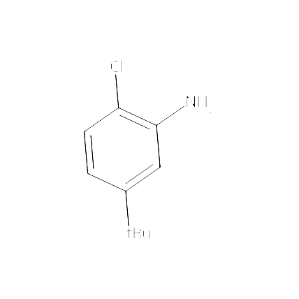 CC(C)(C)c1ccc(Cl)c(N)c1